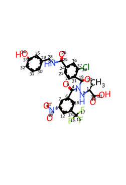 C[C@H](NN(C(=O)c1cc([N+](=O)[O-])cc(C(F)(F)F)c1)C(=O)c1ccc(C(=O)NCc2cccc(O)c2)cc1Cl)C(=O)O